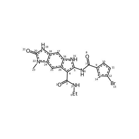 CCNC(=O)c1c(NC(=O)c2ccc(Br)s2)[nH]c2cc3[nH]c(=O)n(C)c3cc12